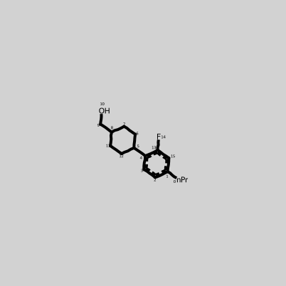 CCCc1ccc(C2CCC(CO)CC2)c(F)c1